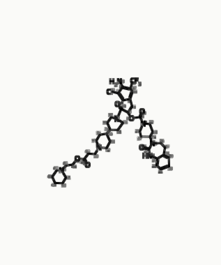 Nc1c(Cl)cc(C[C@@H](OC(=O)N2CCC(N3CCc4ccccc4NC3=O)CC2)C(=O)N2CCC(C3CCN(CCC(=O)OCCN4CCCCC4)CC3)CC2)cc1C(F)(F)F